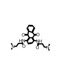 CN(C)CCC(=O)Nc1ccc(NC(=O)CCN(C)C)c2c1C(=O)c1ccccc1C2=O